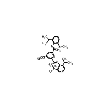 CC(=Nc1c(C(C)C)cccc1C(C)C)c1cccc(C(C)=Nc2c(C(C)C)cccc2C(C)C)n1.[Cl-].[Cl-].[Cl-].[Fe+3]